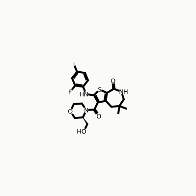 CC1(C)CNC(=O)c2sc(Nc3ccc(I)cc3F)c(C(=O)N3CCOC[C@@H]3CO)c2C1